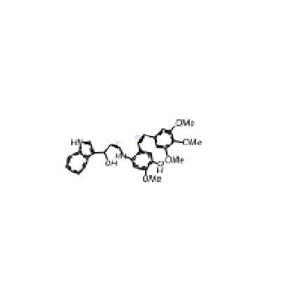 COc1cc(N/C=C\C(O)c2c[nH]c3ccccc23)c(/C=C\c2cc(OC)c(OC)c(OC)c2)cc1O